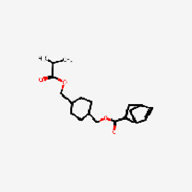 CC(C)C(=O)OCC1CCC(COC(=O)C2CC3C=CC2C3)CC1